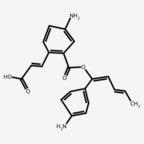 CC=CC=C(OC(=O)c1cc(N)ccc1C=CC(=O)O)c1ccc(N)cc1